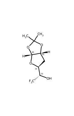 CC1(C)O[C@H]2O[C@H]([C@H](O)C(F)(F)F)C[C@H]2O1